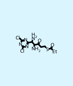 CCC(=O)SCCC(=O)C(N)C(N)c1nc(Cl)nc(Cl)n1